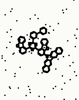 c1ccc(-c2cccc(-c3nc(-c4cccc5oc6ccccc6c45)nc(-c4ccc(-n5c6cc7ccccc7cc6c6cc7ccccc7cc65)c5oc6ccccc6c45)n3)c2)cc1